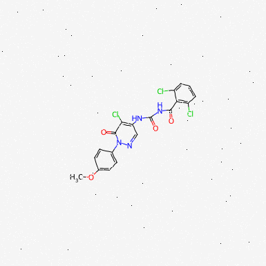 COc1ccc(-n2ncc(NC(=O)NC(=O)c3c(Cl)cccc3Cl)c(Cl)c2=O)cc1